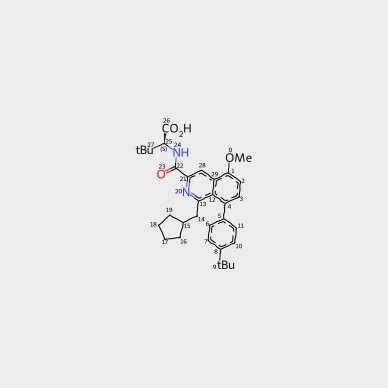 COc1ccc(-c2ccc(C(C)(C)C)cc2)c2c(CC3CCCC3)nc(C(=O)N[C@H](C(=O)O)C(C)(C)C)cc12